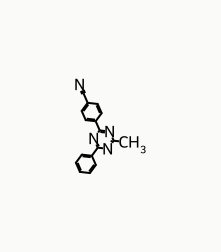 Cc1nc(-c2ccccc2)nc(-c2ccc(C#N)cc2)n1